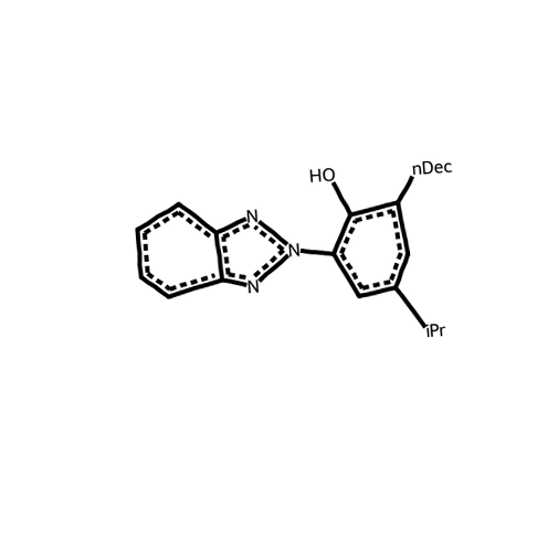 CCCCCCCCCCc1cc(C(C)C)cc(-n2nc3ccccc3n2)c1O